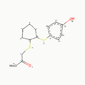 COC(=O)CSC1CCCCC1Sc1ccc(O)cc1